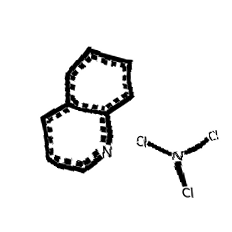 ClN(Cl)Cl.c1ccc2ncccc2c1